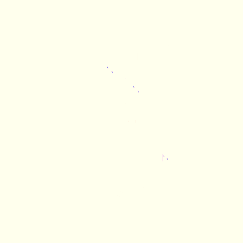 CCCC/C(N)=C(\Cc1ccc(-c2ccccc2C#N)cc1)C(=O)NCc1cccc(F)c1F